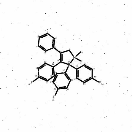 C[N+]1(C)CC(c2ccccc2)=C(c2ccc(F)cc2)[B-]1(c1ccc(F)cc1)c1ccc(F)cc1